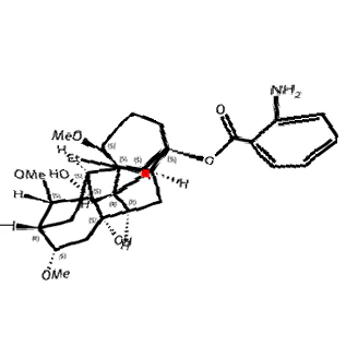 CCN1C[C@]2(OC(=O)c3ccccc3N)CC[C@H](OC)[C@@]34[C@@H]2C[C@H]([C@@H]13)[C@@]1(O)C[C@H](OC)[C@H]2C[C@@H]4[C@]1(O)[C@H]2OC